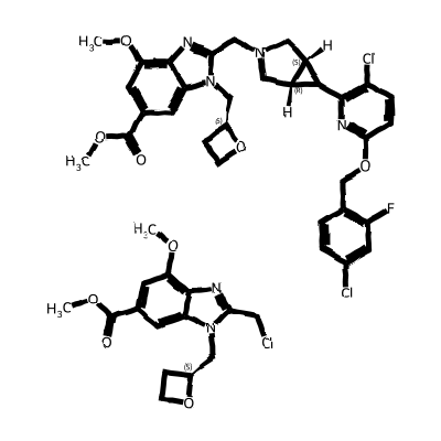 COC(=O)c1cc(OC)c2nc(CCl)n(C[C@@H]3CCO3)c2c1.COC(=O)c1cc(OC)c2nc(CN3C[C@@H]4C(c5nc(OCc6ccc(Cl)cc6F)ccc5Cl)[C@@H]4C3)n(C[C@@H]3CCO3)c2c1